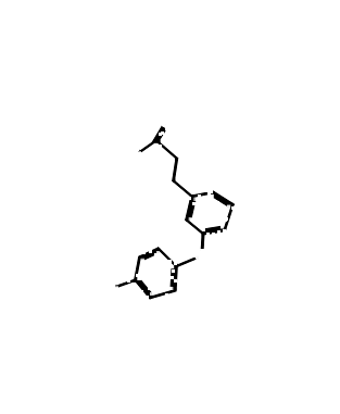 O=C(Cl)CCc1cccc(Oc2ccc(Cl)cc2)c1